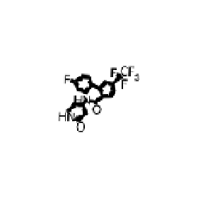 O=C(Nc1cc[nH]c(=O)c1)c1ccc(C(F)(F)C(F)(F)F)cc1-c1ccc(F)cc1